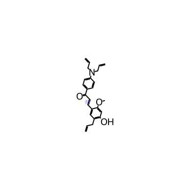 C=CCc1cc(/C=C/C(=O)c2ccc(N(CC=C)CC=C)cc2)c(OC)cc1O